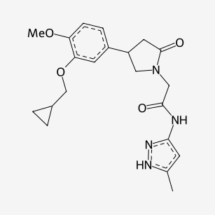 COc1ccc(C2CC(=O)N(CC(=O)Nc3cc(C)[nH]n3)C2)cc1OCC1CC1